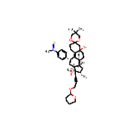 C[C@H]1C[C@H]2[C@@H]3CC[C@@]4(O)CC5(CCC4=C3[C@@H](c3ccc(N(C)C)cc3)C[C@]2(C)[C@]1(O)C#CCOC1CCCCO1)OCC(C)(C)CO5